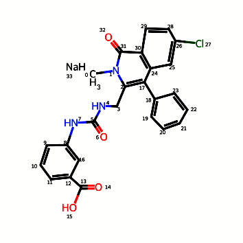 Cn1c(CNC(=O)Nc2cccc(C(=O)O)c2)c(-c2ccccc2)c2cc(Cl)ccc2c1=O.[NaH]